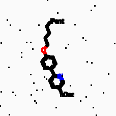 CCCCCCCCCCc1ccc(-c2ccc(OCCCCC(C)CCC)cc2)nc1